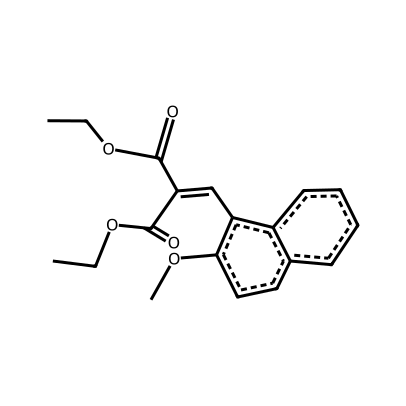 CCOC(=O)C(=Cc1c(OC)ccc2ccccc12)C(=O)OCC